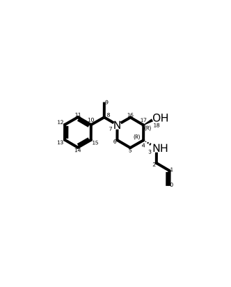 C=CCN[C@@H]1CCN(C(C)c2ccccc2)C[C@H]1O